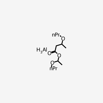 CCCOC(C)CC(=O)OC(C)OCCC.[AlH3]